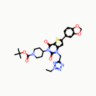 CCn1nnc(Cn2c(=O)n(C3CCN(C(=O)OC(C)(C)C)CC3)c(=O)c3sc(-c4ccc5c(c4)OCO5)cc32)n1